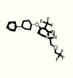 FC(F)(F)COCc1nnc2c(C(F)(F)F)c(O[C@H]3CC[C@H](c4ccccc4)CC3)ccn12